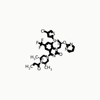 C=CC(=O)N1[C@H](C)CN(c2nc(=O)n3c4c(cc(C(F)(F)F)cc24)[SH](c2cc(Cl)cs2)C[C@@H](Oc2ncccn2)C3)C[C@@H]1C